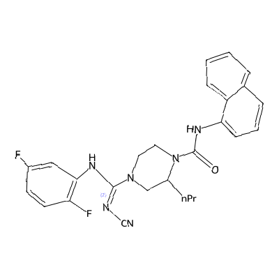 CCCC1CN(/C(=N\C#N)Nc2cc(F)ccc2F)CCN1C(=O)Nc1cccc2ccccc12